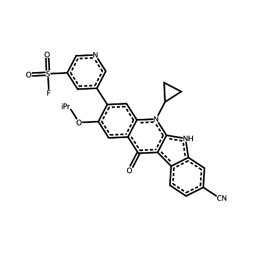 CC(C)Oc1cc2c(=O)c3c4ccc(C#N)cc4[nH]c3n(C3CC3)c2cc1-c1cncc(S(=O)(=O)F)c1